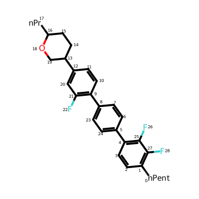 CCCCCc1ccc(-c2ccc(-c3ccc(C4CCC(CCC)OC4)cc3F)cc2)c(F)c1F